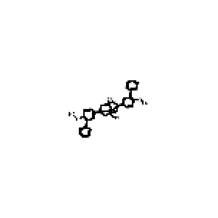 CC(C)C12CC3(C)CC(c4ccc(OC#N)c(-c5ccccc5)c4)(CC(c4ccc(OC#N)c(-c5ccccc5)c4)(C3)C1)C2